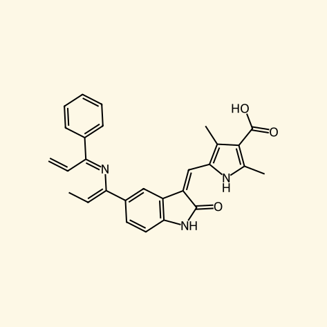 C=C/C(=N\C(=C/C)c1ccc2c(c1)/C(=C/c1[nH]c(C)c(C(=O)O)c1C)C(=O)N2)c1ccccc1